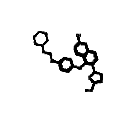 CSC1=CCC(c2ccc3cc(O)ccc3c2Oc2ccc(OCCN3CCCCC3)cc2)S1